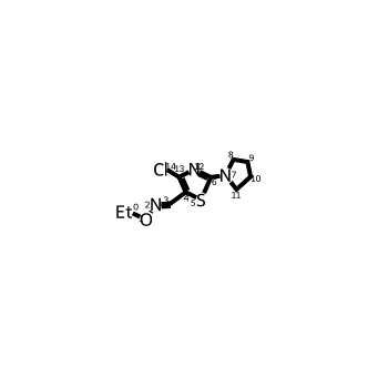 CCO/N=C/c1sc(N2CCCC2)nc1Cl